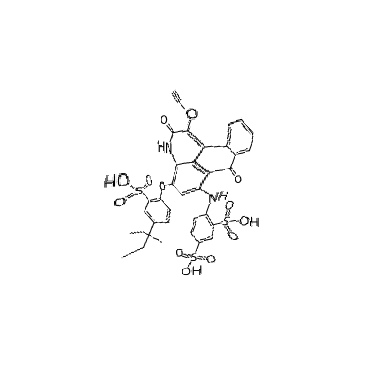 C#COc1c2c3c(c(Nc4ccc(S(=O)(=O)O)cc4S(=O)(=O)O)cc(Oc4ccc(C(C)(C)CC)cc4S(=O)(=O)O)c3[nH]c1=O)C(=O)c1ccccc1-2